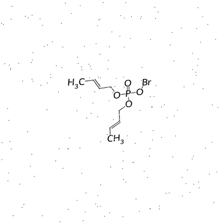 CC=CCOP(=O)(OBr)OCC=CC